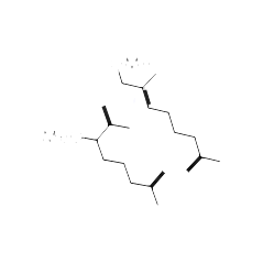 C=C(C)CCC/C=C(\C)COC.C=C(C)CCCC(OC)C(=C)C